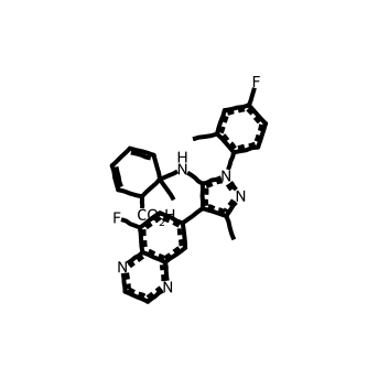 Cc1cc(F)ccc1-n1nc(C)c(-c2cc(F)c3nccnc3c2)c1NC1(C)C=CC=CC1C(=O)O